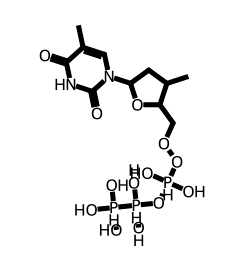 Cc1cn(C2CC(C)C(COO[PH](O)(O)O[PH](O)(O)[PH](O)(O)O)O2)c(=O)[nH]c1=O